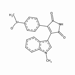 Cn1cc(C2=C(c3ccc([S+](C)[O-])cc3)C(=O)NC2=O)c2ccccc21